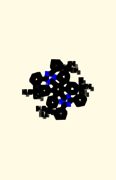 CC(C)(C)c1ccc(-c2c(-c3ccc(C(C)(C)C)cc3)c(-c3nc(-c4ccccc4)nc(-c4ccccc4)n3)c(-c3ccc(C(C)(C)C)cc3)c(-c3ccc(C(C)(C)C)cc3)c2-c2nc(-c3ccccc3)nc(-c3ccccc3)n2)cc1